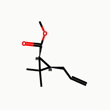 C=CC[C@@H]1[C@@H](C(=O)OC)C1(C)C